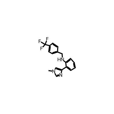 Cn1cnc(-c2ccccc2NCc2ccc(C(F)(F)F)cc2)c1